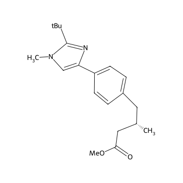 COC(=O)C[C@@H](C)Cc1ccc(-c2cn(C)c(C(C)(C)C)n2)cc1